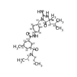 CCCN(CCC)C(=O)c1cc(C)cc(C(=O)Nc2ccc(CN3C(=N)NC(C)(CC(C)C)C3=O)cc2)c1